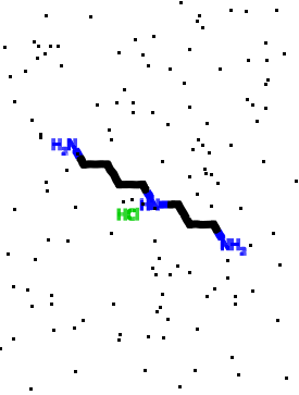 Cl.NCCCCNCCCN